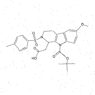 COc1ccc2c(c1)c1c(n2C(=O)OC(C)(C)C)C(CC(=O)O)N(S(=O)(=O)c2ccc(C)cc2)CC1